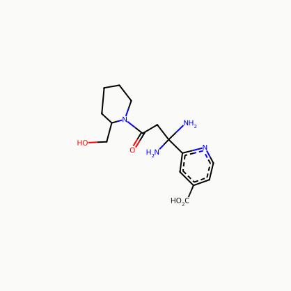 NC(N)(CC(=O)N1CCCCC1CO)c1cc(C(=O)O)ccn1